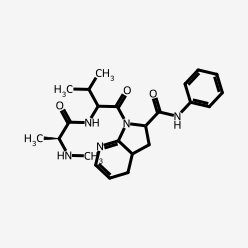 CN[C@@H](C)C(=O)NC(C(=O)N1C2=NC=CCC2CC1C(=O)Nc1ccccc1)C(C)C